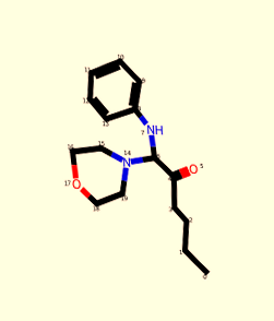 CCCCC(=O)C(Nc1ccccc1)N1CCOCC1